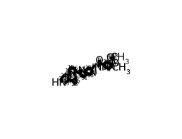 Cc1ccc(C(=O)NCc2cc3nc(-c4cccc(N5CCNCC5C5CCC5)n4)ccc3cn2)cc1S(C)(=O)=O